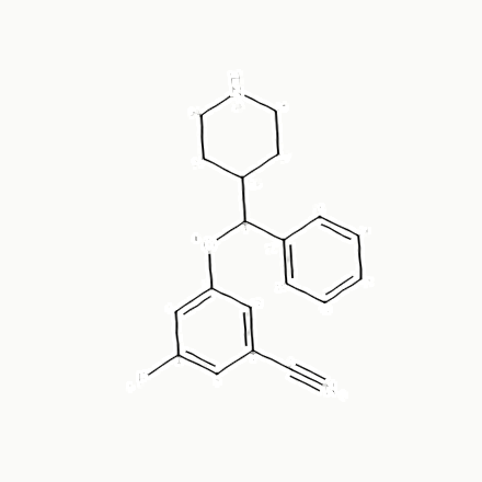 N#Cc1cc(F)cc(OC(c2ccccc2)C2CCNCC2)c1